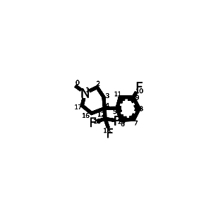 CN1CCC(c2cccc(F)c2)(C(F)(F)F)CC1